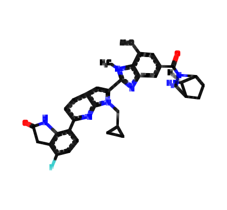 COc1cc(C(=O)N2CC3CCC2[C@@H]3N)cc2nc(-c3cc4ccc(-c5ccc(F)c6c5NC(=O)C6)nc4n3CC3CC3)n(C)c12